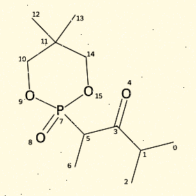 CC(C)C(=O)C(C)P1(=O)OCC(C)(C)CO1